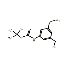 COc1cc(CO)cc(NC(=O)OC(C)(C)C)c1